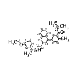 CCOc1cccc([C@@H](C)NCCc2cc(-c3ccc(C)c(C(=O)OC(C)C)c3)c3ccccc3c2)c1